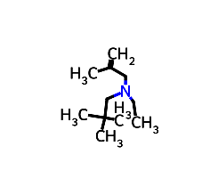 C=C(C)CN(CC)CC(C)(C)C